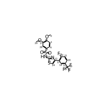 COc1ccc(S(=O)(=O)Nc2nc(-c3cc(C(F)(F)F)ccc3F)cs2)cc1OC